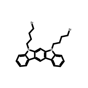 BrCCCCn1c2ccccc2c2cc3c4ccccc4n(CCCCBr)c3cc21